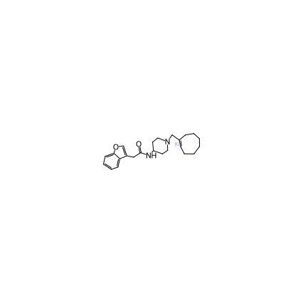 O=C(Cc1coc2ccccc12)NC1CCN(C/C2=C/CCCCCC2)CC1